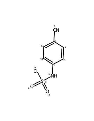 N#Cc1ccc(NS(=O)(=O)Cl)cc1